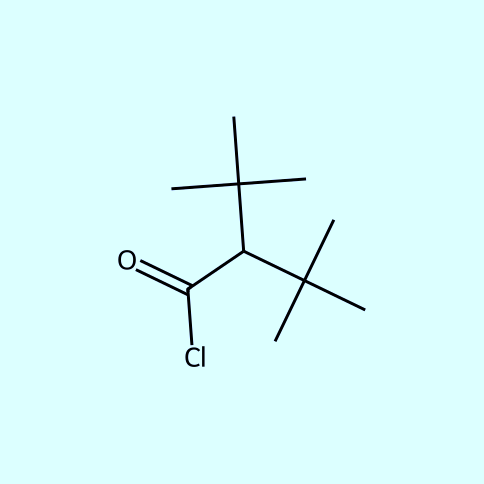 CC(C)(C)C(C(=O)Cl)C(C)(C)C